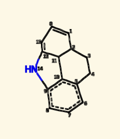 C1=CC2CCc3cccc4c3C2C(=C1)N4